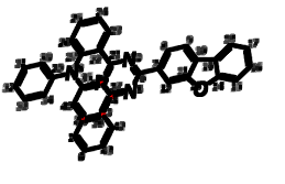 c1ccc(-c2nc(-c3ccc4c(c3)oc3ccccc34)nc(-c3ccccc3N(c3ccccc3)c3ccccc3)n2)cc1